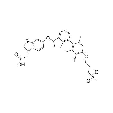 Cc1cc(OCCCS(C)(=O)=O)c(F)c(C)c1-c1cccc2c1CCC2Oc1ccc2c(c1)SC[C@H]2CC(=O)O